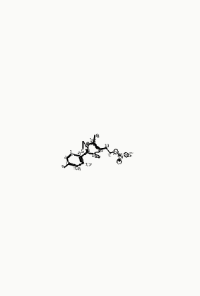 Cc1ccc(-c2nc(C)c(CCO[N+](=O)[O-])s2)cc1